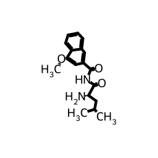 COc1cc(C(=O)NC(=O)[C@@H](N)CC(C)C)cc2ccccc12